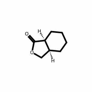 O=C1OC[C@@H]2CCCC[C@H]12